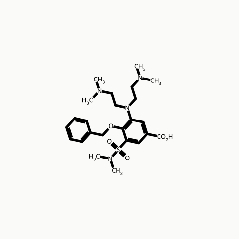 CN(C)CCN(CCN(C)C)c1cc(C(=O)O)cc(S(=O)(=O)N(C)C)c1OCc1ccccc1